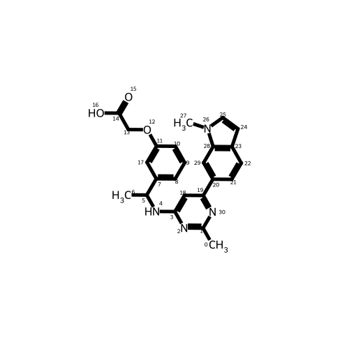 Cc1nc(NC(C)c2cccc(OCC(=O)O)c2)cc(-c2ccc3ccn(C)c3c2)n1